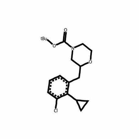 CC(C)(C)OC(=O)N1CCOC(Cc2cccc(Cl)c2C2CC2)C1